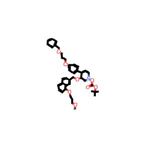 COCCCOc1cccc2ccc(COC3CN(OC(=O)OC(C)(C)C)CCC3c3ccc(OCCCOCc4ccccc4)cc3)cc12